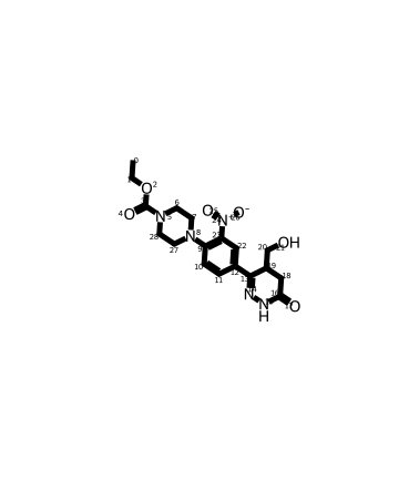 CCOC(=O)N1CCN(c2ccc(C3=NNC(=O)CC3CO)cc2[N+](=O)[O-])CC1